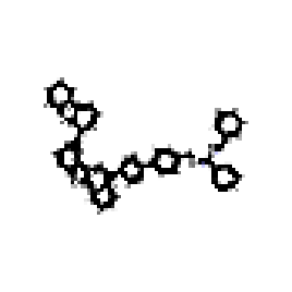 C1=CCC(C(=N/Cc2ccc(-c3ccc(-c4cc5c6c(oc5c5ccccc45)C=CC4C6C4C4C=CC=C5C6CCC=CC6OC54)cc3)cc2)/N=C/C2=CCCC=C2)C=C1